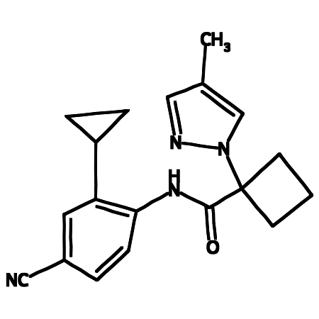 Cc1cnn(C2(C(=O)Nc3ccc(C#N)cc3C3CC3)CCC2)c1